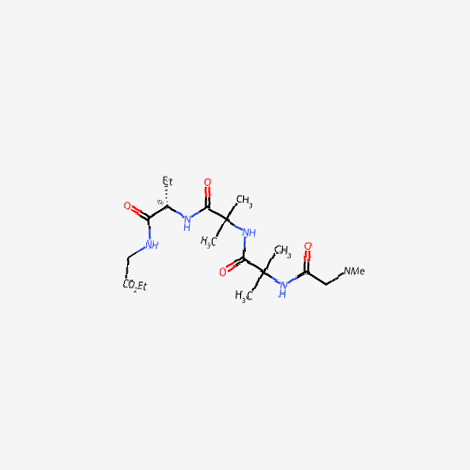 CCOC(=O)CNC(=O)[C@H](CC)NC(=O)C(C)(C)NC(=O)C(C)(C)NC(=O)CNC